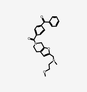 COCCN(C)Cc1cc2c(o1)CN(C(=O)c1ccc(C(=O)c3ccccc3)cc1)CC2